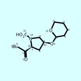 CC(C)(C)C(=O)[C@@H]1C[C@H](OC2CCCCO2)CN1C(=O)O